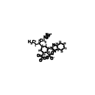 CCC(C)c1cc(-n2nc3ccccc3n2)c(S(=O)(=O)[O-])c(S(=O)(=O)[O-])c1.[Na+].[Na+]